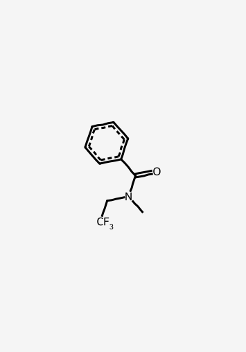 CN(CC(F)(F)F)C(=O)c1ccccc1